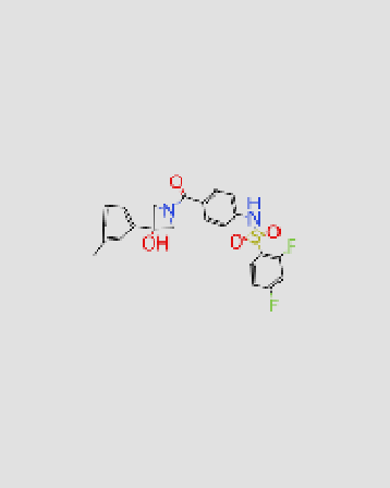 Cc1cccc(C2(O)CN(C(=O)c3ccc(NS(=O)(=O)c4ccc(F)cc4F)cc3)C2)c1